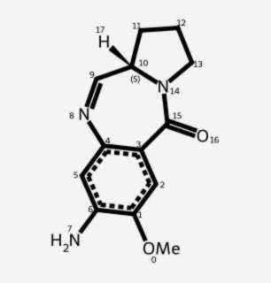 COc1cc2c(cc1N)N=C[C@@H]1CCCN1C2=O